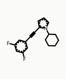 Fc1cc(F)cc(C#Cc2cccn2C2CCCCC2)c1